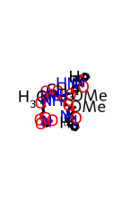 COc1cc2c(cc1OCc1cc(COc3cc4c(cc3OC)C(=O)N3c5ccccc5C[C@H]3CN4)cc(NC(=O)[C@H](C)NC(=O)[C@H](C)NC(=O)CCCCC(=O)ON3C(=O)C=CC3=O)c1)N=C[C@@H]1Cc3ccccc3N1C2=O